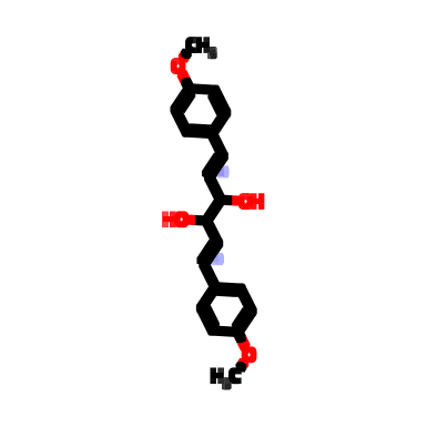 COc1ccc(/C=C/C(O)C(O)/C=C/c2ccc(OC)cc2)cc1